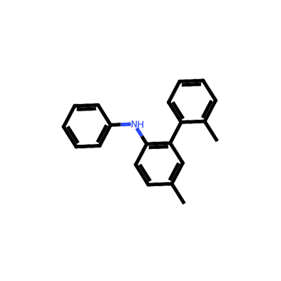 Cc1ccc(Nc2ccccc2)c(-c2ccccc2C)c1